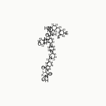 O=C1CCC(N2Cc3ccc(CN4CCCC(N5CCN(c6ccc(C(=O)Nc7n[nH]c8ccc(Cc9cc(F)cc(F)c9)cc78)c(NC7CCOCC7)c6)CC5)C4)cc3C2=O)C(=O)N1